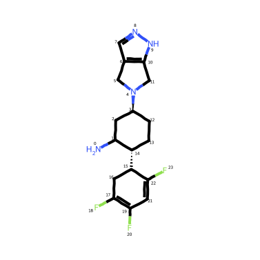 NC1C[C@@H](N2Cc3cn[nH]c3C2)CC[C@@H]1C1CC(F)=C(F)C=C1F